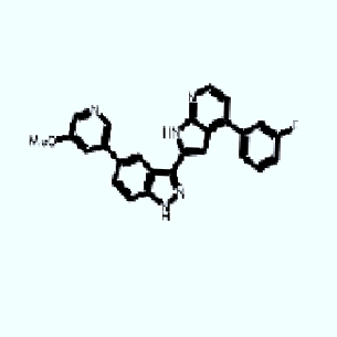 COc1cncc(-c2ccc3[nH]nc(-c4cc5c(-c6cccc(F)c6)ccnc5[nH]4)c3c2)c1